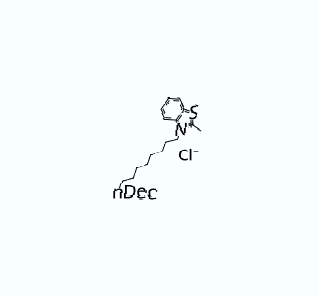 CCCCCCCCCCCCCCCCCC[n+]1c(C)sc2ccccc21.[Cl-]